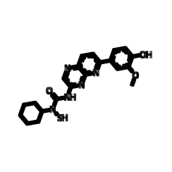 COc1cc(-c2ccc3ncc(NC(=O)N(S)C4CCCCC4)nc3n2)ccc1O